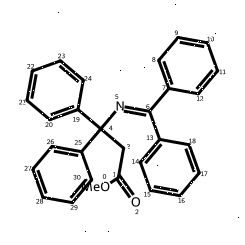 COC(=O)CC(N=C(c1ccccc1)c1ccccc1)(c1ccccc1)c1ccccc1